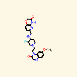 COc1ccc2ncc(=O)n(CCN3CCC(NCc4ccc5c(n4)NC(=O)CO5)C(F)C3)c2c1